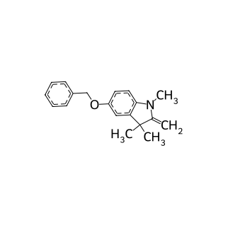 C=C1N(C)c2ccc(OCc3ccccc3)cc2C1(C)C